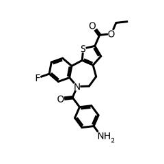 CCOC(=O)c1cc2c(s1)-c1ccc(F)cc1N(C(=O)c1ccc(N)cc1)CC2